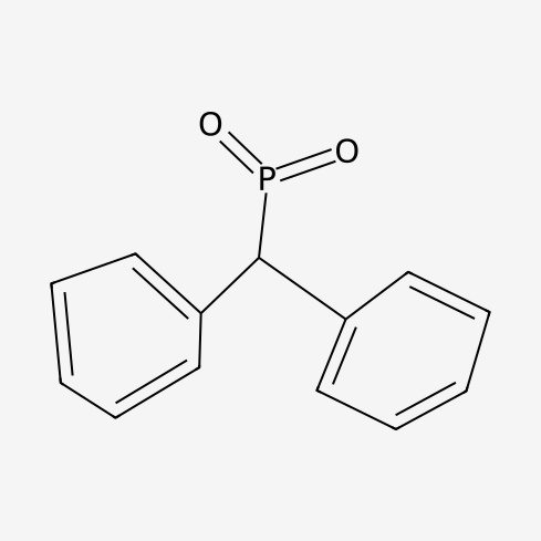 O=P(=O)C(c1ccccc1)c1ccccc1